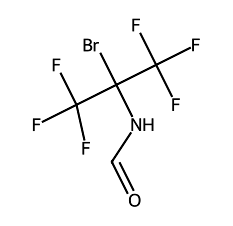 O=CNC(Br)(C(F)(F)F)C(F)(F)F